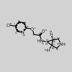 O=C(COc1ccc(Cl)cn1)N[C@H]1[C@@H]2CNC[C@@H]21